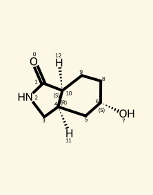 O=C1NC[C@@H]2C[C@@H](O)CC[C@H]12